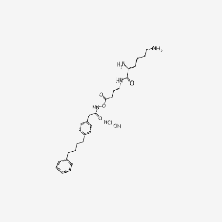 Cl.Cl.NCCCCC(N)C(=O)NCCCC(=O)ONC(=O)Cc1ccc(CCCCc2ccccc2)cc1